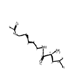 CC(=O)NCCCCNC(=O)[C@@H](N)CC(C)C